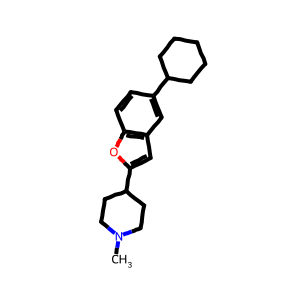 CN1CCC(c2cc3cc(C4CCCCC4)ccc3o2)CC1